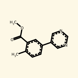 COC(=O)c1cc(-c2cncnc2)ccc1C